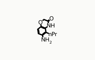 CCCc1c(N)ccc2c1NC(=O)CO2